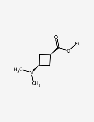 CCOC(=O)[C@H]1C[C@@H](N(C)C)C1